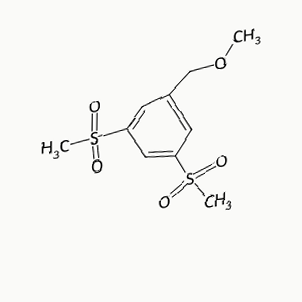 COCc1cc(S(C)(=O)=O)cc(S(C)(=O)=O)c1